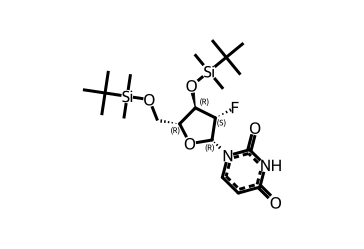 CC(C)(C)[Si](C)(C)OC[C@H]1O[C@@H](n2ccc(=O)[nH]c2=O)[C@@H](F)[C@@H]1O[Si](C)(C)C(C)(C)C